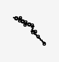 Cc1ccc(C(=O)Oc2ccc(OC(=O)c3ccc(OC(C)(C)CCC(C)(C)OC(=O)CCCOCCCCCC=O)cc3)cc2)cc1